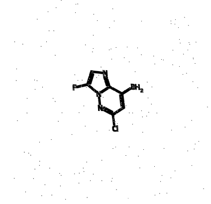 Bc1cc(Cl)nn2c(F)cnc12